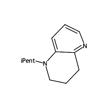 CCCC(C)N1CCCc2ncccc21